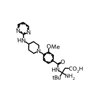 COc1cc(C(=O)NC(N)(CC(=O)O)C(C)(C)C)ccc1N1CCC(Nc2ncccn2)CC1